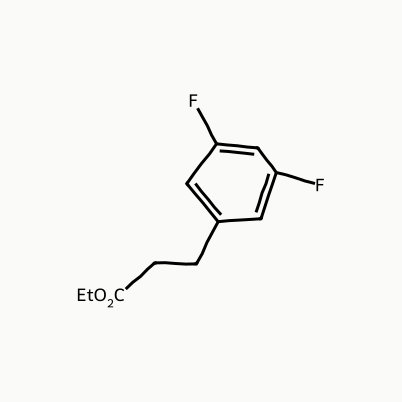 CCOC(=O)CCc1cc(F)cc(F)c1